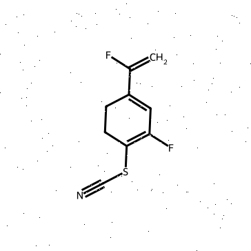 C=C(F)C1=CC(F)=C(SC#N)CC1